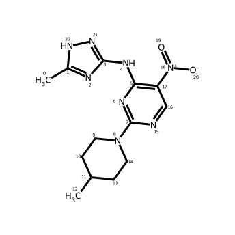 Cc1nc(Nc2nc(N3CCC(C)CC3)ncc2[N+](=O)[O-])n[nH]1